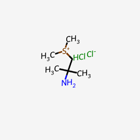 C[S+](C)CC(C)(C)N.Cl.[Cl-]